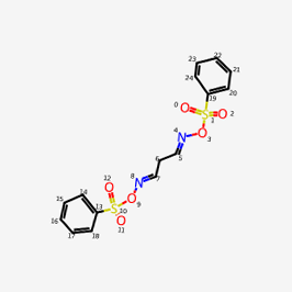 O=S(=O)(ON=CCC=NOS(=O)(=O)c1ccccc1)c1ccccc1